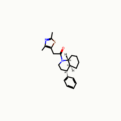 Cc1nc(C)c(CC(=O)N2CC[C@@H](c3ccccc3)[C@@H]3CCCC[C@H]32)s1